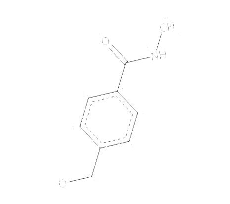 CNC(=O)c1ccc(C[O])cc1